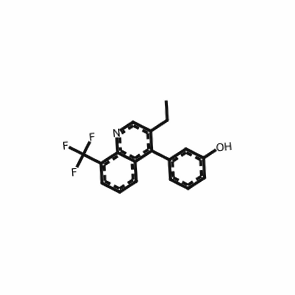 CCc1cnc2c(C(F)(F)F)cccc2c1-c1cccc(O)c1